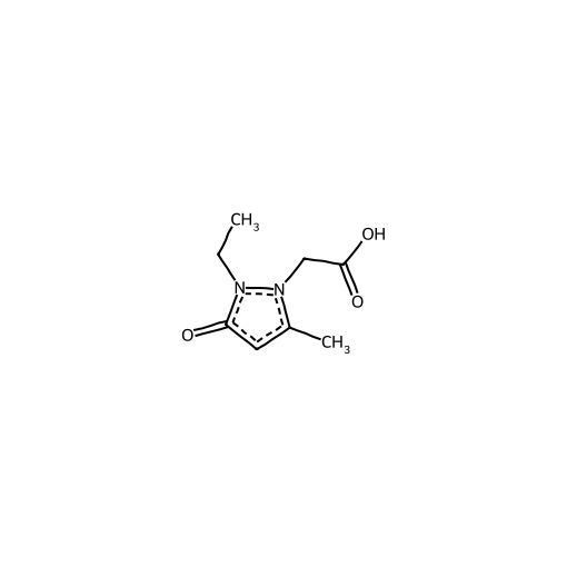 CCn1c(=O)cc(C)n1CC(=O)O